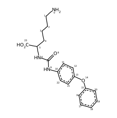 NCCCCC(NC(=O)Nc1ccc(Oc2ccccc2)cc1)C(=O)O